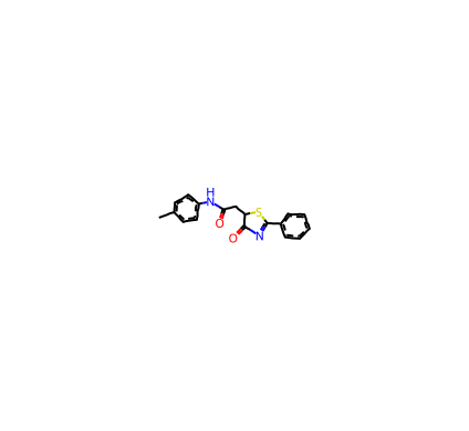 Cc1ccc(NC(=O)CC2SC(c3ccccc3)=NC2=O)cc1